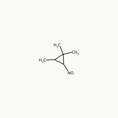 CC1C(N=O)C1(C)C